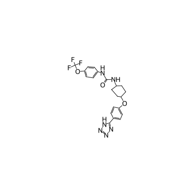 O=C(Nc1ccc(OC(F)(F)F)cc1)NC1CCC(Oc2ccc(-c3nnn[nH]3)cc2)CC1